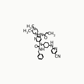 C=CC(=O)Nc1cc(N(C(=O)NCc2ccccc2)C2CCC(Nc3ccc(C#N)cn3)CC2)cnc1N1CCN(C)C(C)C1